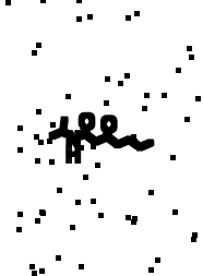 CCCCC(=O)CC(=O)NC(C)C